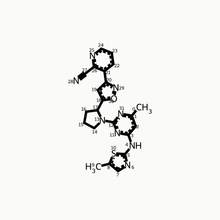 Cc1cc(Nc2ncc(C)s2)nc(N2CCCC2c2cc(-c3cccnc3C#N)no2)n1